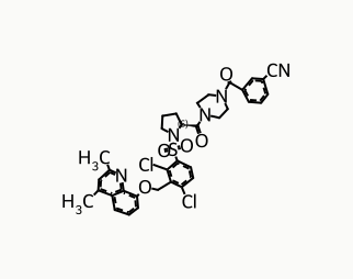 Cc1cc(C)c2cccc(OCc3c(Cl)ccc(S(=O)(=O)N4CCC[C@H]4C(=O)N4CCN(C(=O)c5cccc(C#N)c5)CC4)c3Cl)c2n1